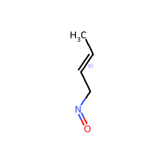 C/C=C/CN=O